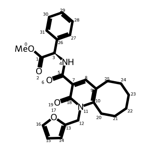 COC(=O)[C@H](NC(=O)c1cc2c(n(Cc3ccco3)c1=O)CCCCCC2)c1ccccc1